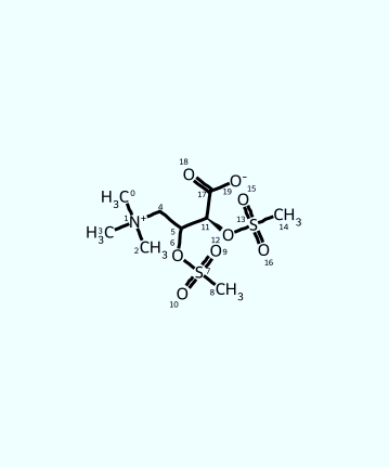 C[N+](C)(C)CC(OS(C)(=O)=O)[C@H](OS(C)(=O)=O)C(=O)[O-]